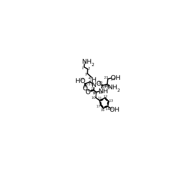 NCCCC[C@H](NC(=O)[C@H](Cc1ccc(O)cc1)NC(=O)[C@@H](N)CO)C(=O)O